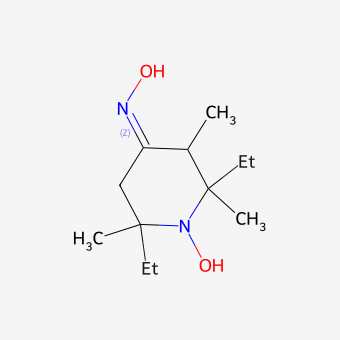 CCC1(C)C/C(=N/O)C(C)C(C)(CC)N1O